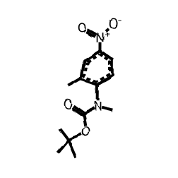 Cc1cc([N+](=O)[O-])ccc1N(C)C(=O)OC(C)(C)C